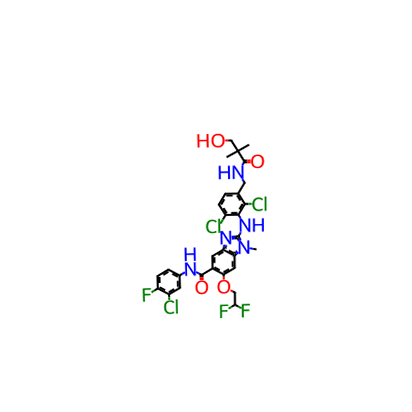 Cn1c(Nc2c(Cl)ccc(CNC(=O)C(C)(C)CO)c2Cl)nc2cc(C(=O)Nc3ccc(F)c(Cl)c3)c(OCC(F)F)cc21